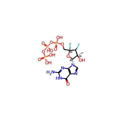 C[C@@]1(O)C(F)[C@@](F)(COP(=O)(O)OP(=O)(O)OP(=O)(O)O)O[C@H]1n1cnc2c(=O)[nH]c(N)nc21